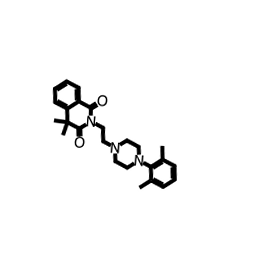 Cc1cccc(C)c1N1CCN(CCN2C(=O)c3ccccc3C(C)(C)C2=O)CC1